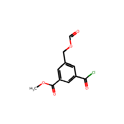 COC(=O)c1cc(COC=O)cc(C(=O)Cl)c1